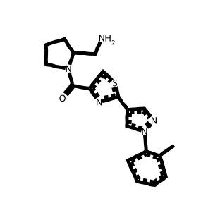 Cc1ccccc1-n1cc(-c2nc(C(=O)N3CCCC3CN)cs2)cn1